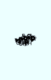 CC(Oc1cc(-c2ccc(C3CC3)c(C(=O)O)n2)c(F)cc1C(=O)Nc1c(F)cccc1Cl)C(F)(F)F